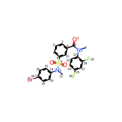 CN(C(=O)c1cccc(S(=O)(=O)N(C)c2ccc(Br)cc2)c1)c1ccc(F)cc1F